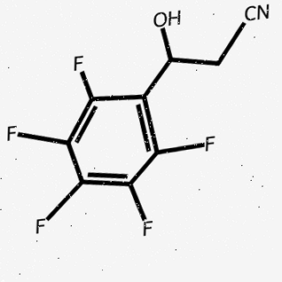 N#CCC(O)c1c(F)c(F)c(F)c(F)c1F